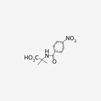 CC(C)(NC(=O)c1ccc([N+](=O)[O-])cc1)C(=O)O